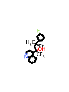 CCC(C)(CC(O)(c1ccnc2ccccc12)C(F)(F)F)c1cccc(F)c1